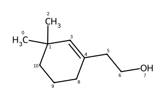 CC1(C)C=C(CCO)CCC1